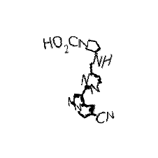 N#Cc1ccn2ncc(-c3nccc(CNC4CCCN(C(=O)O)C4)n3)c2c1